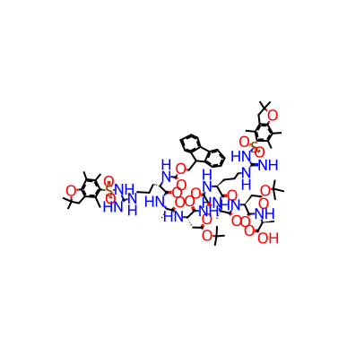 Cc1c(C)c(S(=O)(=O)NC(=N)NCCC[C@H](NC(=O)OCC2c3ccccc3-c3ccccc32)C(=O)N[C@@H](C)C(=O)N[C@@H](CC(=O)OC(C)(C)C)C(=O)N[C@@H](C)C(=O)N[C@@H](CCCNC(=N)NS(=O)(=O)c2c(C)c(C)c3c(c2C)CC(C)(C)O3)C(=O)N[C@@H](C)C(=O)N[C@@H](CC(=O)OC(C)(C)C)C(=O)N[C@@H](C)C(=O)O)c(C)c2c1OC(C)(C)C2